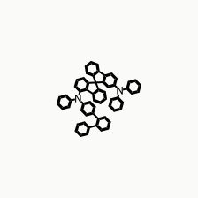 c1ccc(-c2ccccc2-c2ccc(N(c3ccccc3)c3cccc4c3-c3ccccc3C43c4ccccc4-c4ccc(N(c5ccccc5)c5ccccc5)cc43)cc2)cc1